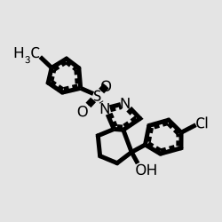 Cc1ccc(S(=O)(=O)n2ncc3c2CCCC3(O)c2ccc(Cl)cc2)cc1